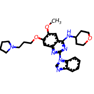 COc1cc2c(NC3CCOCC3)nc(-n3cnc4ccccc43)nc2cc1OCCCN1CCCC1